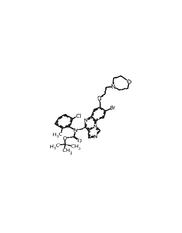 Cc1cccc(Cl)c1N(C(=O)OC(C)(C)C)c1nc2cc(OCCN3CCOCC3)c(Br)cc2n2cncc12